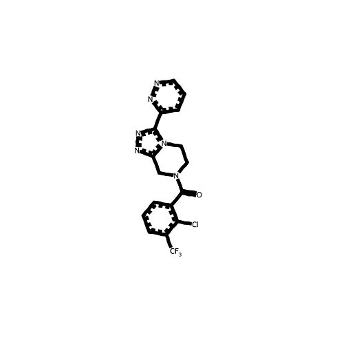 O=C(c1cccc(C(F)(F)F)c1Cl)N1CCn2c(nnc2-c2cccnn2)C1